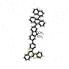 CC1(C)c2cc(-c3ccc4c(c3)sc3c5ccccc5c5sc6ccccc6c5c43)ccc2-c2ccc(-c3c4ccccc4c(-c4cccc5ccccc45)c4ccccc34)cc21